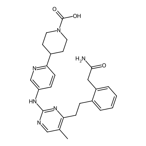 Cc1cnc(Nc2ccc(C3CCN(C(=O)O)CC3)nc2)nc1CCc1ccccc1CC(N)=O